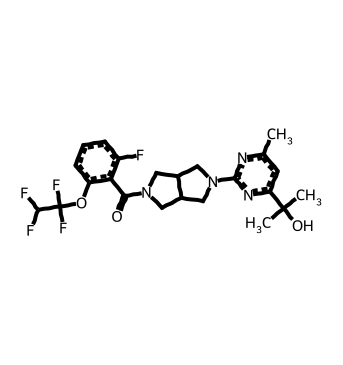 Cc1cc(C(C)(C)O)nc(N2CC3CN(C(=O)c4c(F)cccc4OC(F)(F)C(F)F)CC3C2)n1